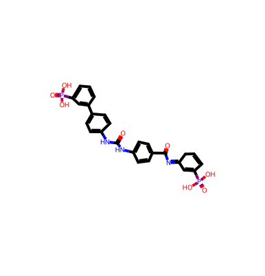 O=C(Nc1ccc(C(=O)N=C2C=C(P(=O)(O)O)C=CC2)cc1)Nc1ccc(-c2cccc(P(=O)(O)O)c2)cc1